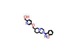 OCc1ccc(OCC2CCC3CN(c4noc5ccccc45)CCN3C2)cn1